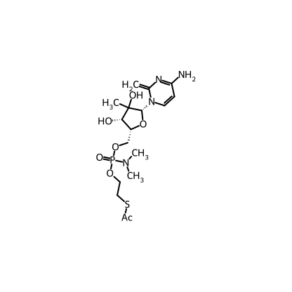 C=C1N=C(N)C=CN1[C@@H]1O[C@H](COP(=O)(OCCSC(C)=O)N(C)C)[C@H](O)C1(C)O